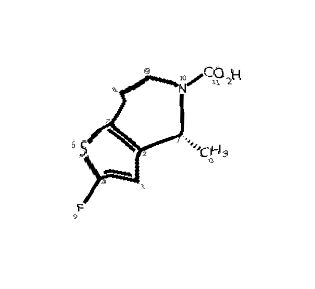 C[C@@H]1c2cc(F)sc2CCN1C(=O)O